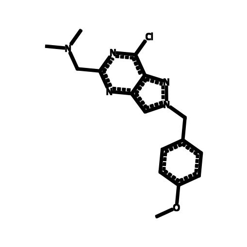 COc1ccc(Cn2cc3nc(CN(C)C)nc(Cl)c3n2)cc1